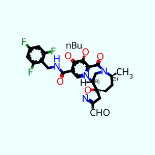 CCCCOc1c2n(cc(C(=O)NCc3c(F)cc(F)cc3F)c1=O)[C@@H]1CN(C2=O)[C@@H](C)CC[C@]12CC(C=O)=NO2